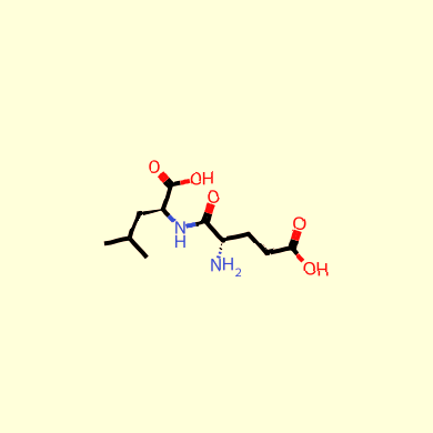 CC(C)C[C@H](NC(=O)[C@@H](N)CCC(=O)O)C(=O)O